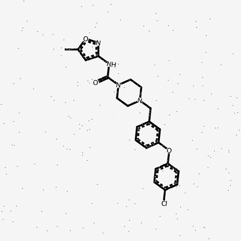 Cc1cc(NC(=O)N2CCN(Cc3cccc(Oc4ccc(Cl)cc4)c3)CC2)no1